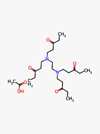 CC(=O)O.CCC(=O)CCN(CCC(=O)CC)CCN(CCC(=O)CC)CCC(=O)CC